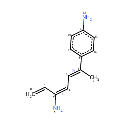 C=C/C(N)=C\C=C(/C)c1ccc(N)cc1